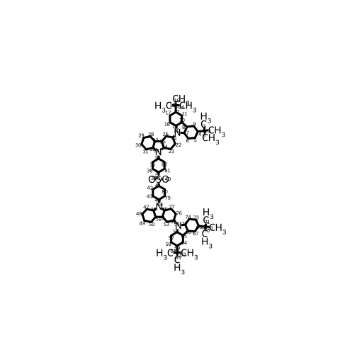 CC(C)(C)C1CCC2C(C1)C1CC(C(C)(C)C)CCC1N2C1CCC2C(C1)C1CCCCC1N2C1CCC(S(=O)(=O)C2CCC(N3C4CCCCC4C4CC(N5C6CCC(C(C)(C)C)CC6C6CC(C(C)(C)C)CCC65)CCC43)CC2)CC1